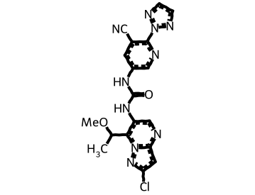 COC(C)c1c(NC(=O)Nc2cnc(-n3nccn3)c(C#N)c2)cnc2cc(Cl)nn12